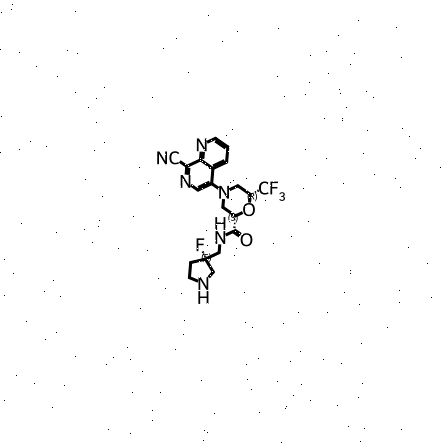 N#Cc1ncc(N2C[C@@H](C(=O)NC[C@]3(F)CCNC3)O[C@@H](C(F)(F)F)C2)c2cccnc12